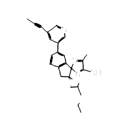 CC#Cc1cncc(-c2ccc3c(c2)C2(N=C(C)C(N)=N2)C2(CCC(OCC)CC2)C3)c1